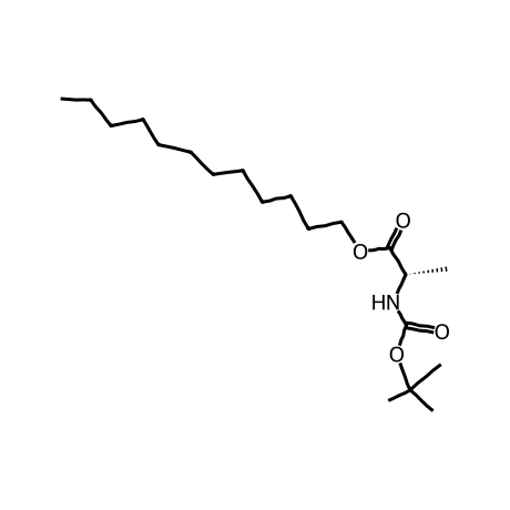 CCCCCCCCCCCCOC(=O)[C@H](C)NC(=O)OC(C)(C)C